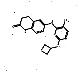 O=C1CCc2cc(Nc3nc(NC4CCC4)ncc3C(F)(F)F)ccc2N1